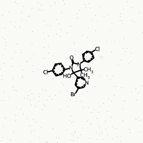 CC1(C)N(c2ccc(Cl)cc2)C(=O)N(c2ccc(Cl)cc2)C1(O)c1cncc(Br)c1